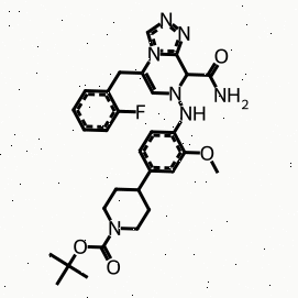 COc1cc(C2CCN(C(=O)OC(C)(C)C)CC2)ccc1NN1C=C(Cc2ccccc2F)n2cnnc2C1C(N)=O